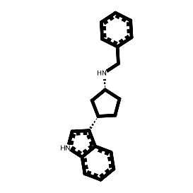 c1ccc(CN[C@@H]2CC[C@H](c3c[nH]c4ccccc34)C2)cc1